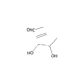 C=C.CC(O)CO.CC=O